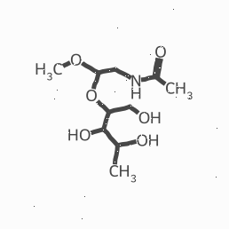 COC(CNC(C)=O)OC(CO)C(O)C(C)O